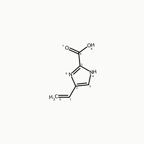 C=Cc1c[nH]c(C(=O)O)n1